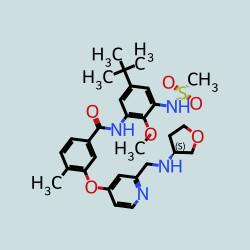 COc1c(NC(=O)c2ccc(C)c(Oc3ccnc(CN[C@H]4CCOC4)c3)c2)cc(C(C)(C)C)cc1NS(C)(=O)=O